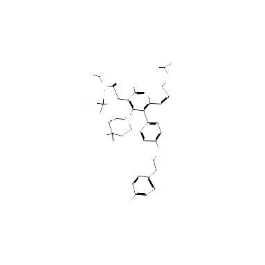 Cc1nc(/C=C\COC(C)C)c(-c2ccc(OCCc3ccc(F)cc3)cc2)c(N2CCC(C)(C)CC2)c1[C@H](OC(C)(C)C)C(=O)OC(C)C